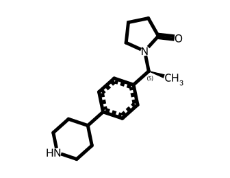 C[C@@H](c1ccc(C2CCNCC2)cc1)N1CCCC1=O